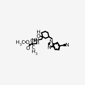 COC(=O)C(C)(C)CNCC1(O)CCCC(Cn2cnc3ccc(C#N)cc32)C1